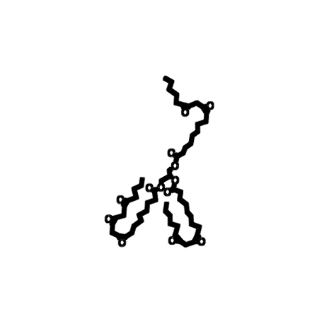 CCCCCC1OC1CC1OC1CCCCCCCC(=O)OCC(COC(=O)CCCCCCCC1OC1CC1OC1CC1OC1CCCC)OC(=O)CCCCCCCC1OC1CC1OC1CCCCC